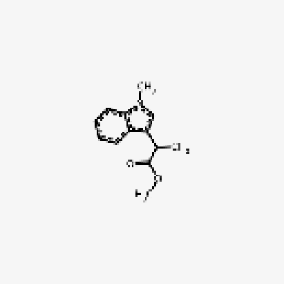 COC(=O)C(C)c1cn(C)c2ccccc12